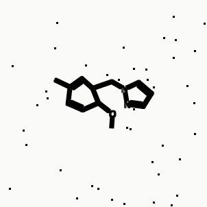 COC1C=CC(C)=CC1Cn1cccn1